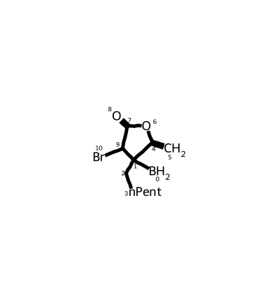 BC1(CCCCCC)C(=C)OC(=O)C1Br